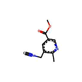 [C-]#[N+]Cc1cc(C(=O)OC)cnc1C